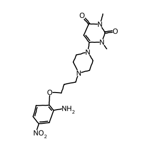 Cn1c(N2CCN(CCCOc3ccc([N+](=O)[O-])cc3N)CC2)cc(=O)n(C)c1=O